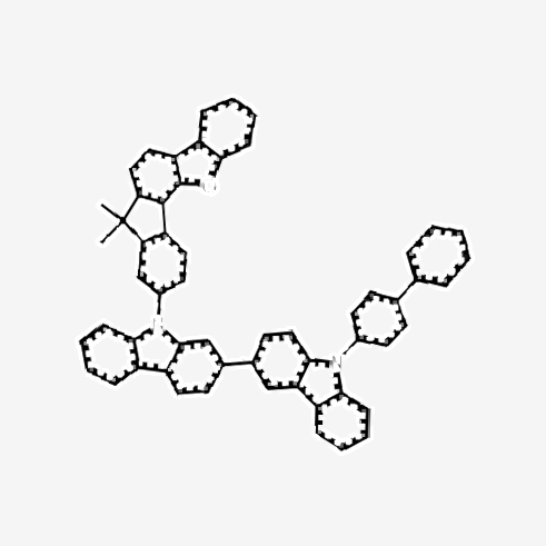 CC1(C)c2cc(-n3c4ccccc4c4ccc(-c5ccc6c(c5)c5ccccc5n6-c5ccc(-c6ccccc6)cc5)cc43)ccc2-c2c1ccc1c2oc2ccccc21